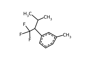 Cc1cccc(C(C(C)C)C(F)(F)F)c1